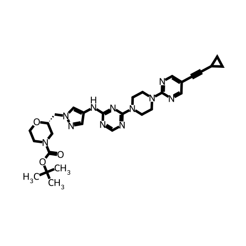 CC(C)(C)OC(=O)N1CCO[C@H](Cn2cc(Nc3ncnc(N4CCN(c5ncc(C#CC6CC6)cn5)CC4)n3)cn2)C1